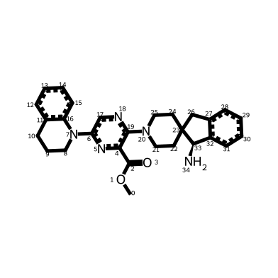 COC(=O)c1nc(N2CCCc3ccccc32)cnc1N1CCC2(CC1)Cc1ccccc1[C@H]2N